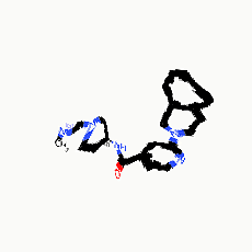 C/N=C\N1CC[C@@H](NC(=O)c2ccnc(N3CCc4ccccc4C3)c2)C1